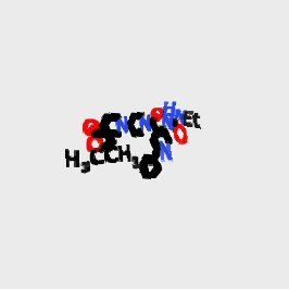 CCNC(=O)Nc1cnc(-c2ccccc2)cc1C(=O)N1CCC(N2CCCC3(C2)CC(C)(C)OC3=O)CC1